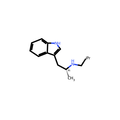 CC(C)CN[C@H](C)Cc1c[nH]c2ccccc12